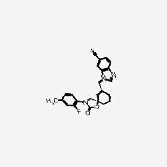 Cc1ccc(N2C[C@@]3(CCC[C@H](Cn4cnc5ccc(C#N)cc54)C3)OC2=O)c(F)c1